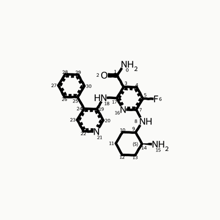 NC(=O)c1cc(F)c(NC2CCCC[C@@H]2N)nc1Nc1cnccc1-c1ccccc1